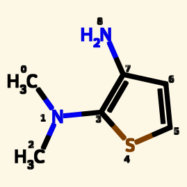 CN(C)c1sccc1N